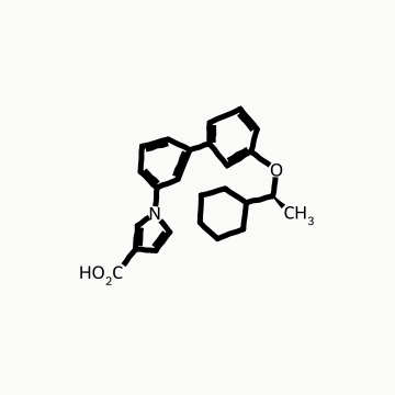 C[C@H](Oc1cccc(-c2cccc(-n3ccc(C(=O)O)c3)c2)c1)C1CCCCC1